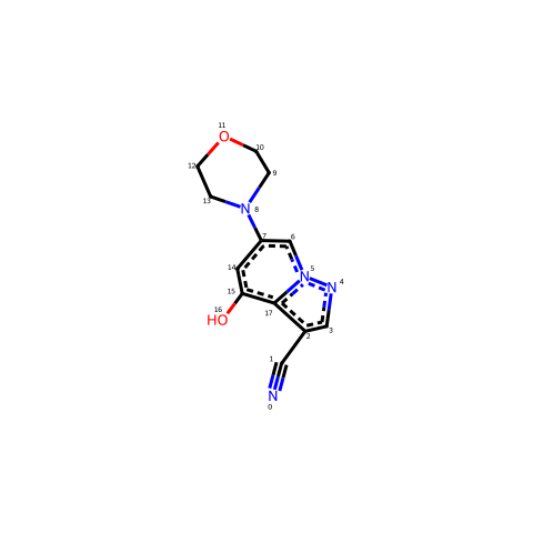 N#Cc1cnn2cc(N3CCOCC3)cc(O)c12